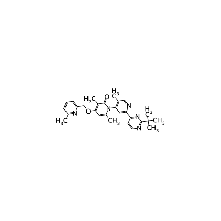 Cc1cccc(COc2cc(C)n(-c3cc(-c4ccnc(C(C)(C)C)n4)ncc3C)c(=O)c2C)n1